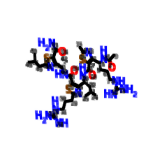 CC(=O)N[C@@H](CCCNC(=N)N)c1nc(C)sc1C(=O)N[C@@H](CC(C)C)c1nc(CCCNC(=N)N)sc1C(=O)N[C@@H](C)c1nc(CC(C)C)sc1C(N)=O